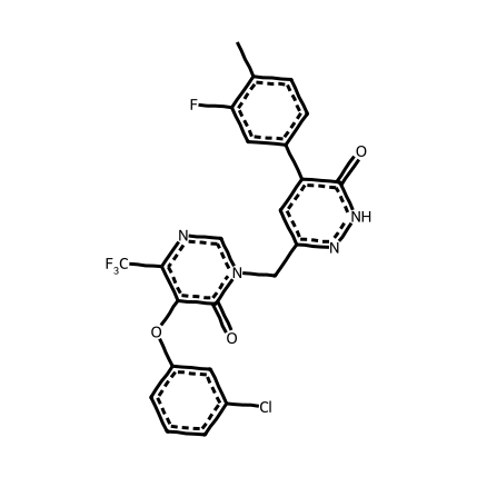 Cc1ccc(-c2cc(Cn3cnc(C(F)(F)F)c(Oc4cccc(Cl)c4)c3=O)n[nH]c2=O)cc1F